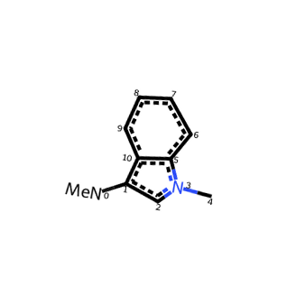 CNc1cn(C)c2ccccc12